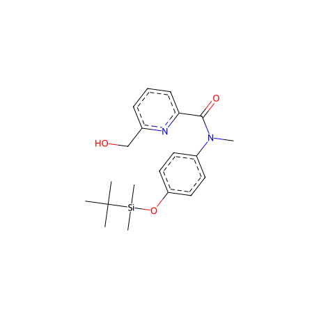 CN(C(=O)c1cccc(CO)n1)c1ccc(O[Si](C)(C)C(C)(C)C)cc1